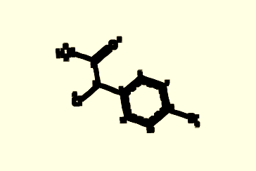 NC(=O)C(Cl)c1ccc(Br)cc1